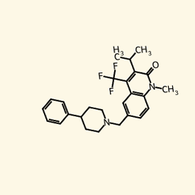 CC(C)c1c(C(F)(F)F)c2cc(CN3CCC(c4ccccc4)CC3)ccc2n(C)c1=O